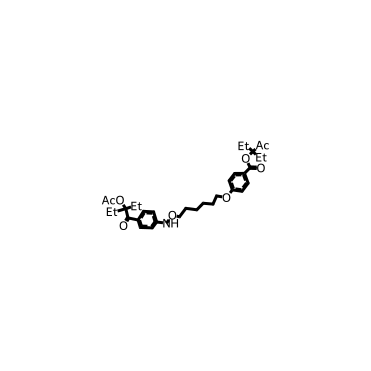 CCC(CC)(OC(=O)c1ccc(OCCCCCCONc2ccc(C(=O)C(CC)(CC)OC(C)=O)cc2)cc1)C(C)=O